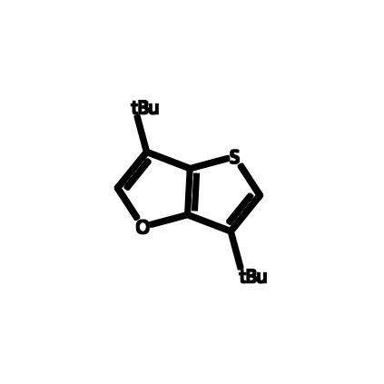 CC(C)(C)c1csc2c(C(C)(C)C)coc12